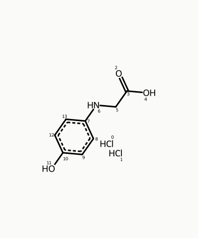 Cl.Cl.O=C(O)CNc1ccc(O)cc1